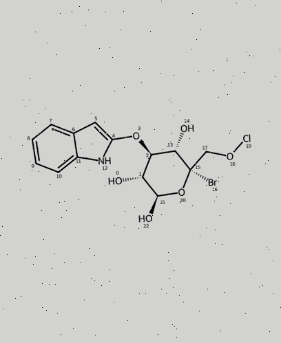 O[C@@H]1[C@@H](Oc2cc3ccccc3[nH]2)[C@H](O)[C@@](Br)(COCl)O[C@H]1O